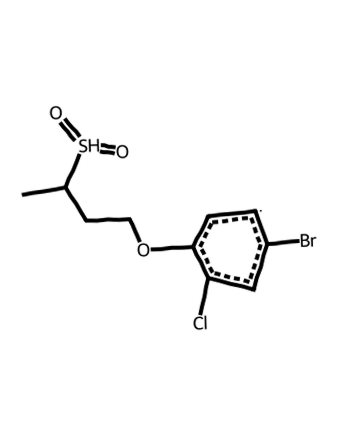 CC(CCOc1c[c]c(Br)cc1Cl)[SH](=O)=O